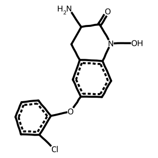 NC1Cc2cc(Oc3ccccc3Cl)ccc2N(O)C1=O